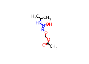 CC(=O)OCO/N=[N+](\O)NC(C)C